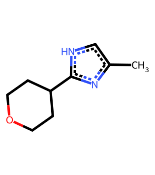 Cc1c[nH]c(C2CCOCC2)n1